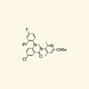 COc1cc(C)c(N2CN(c3ccc(F)cc3C(C)C)c3ccc(Cl)cc3C2=O)c(C)n1